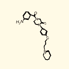 Nc1cccc(C(=O)N2CCN(c3ccc(OCCCN4CCCCC4)cc3)C(=O)C2)c1